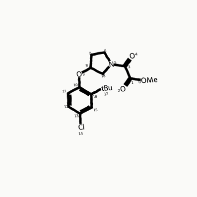 COC(=O)C(=O)N1CCC(Oc2ccc(Cl)cc2C(C)(C)C)C1